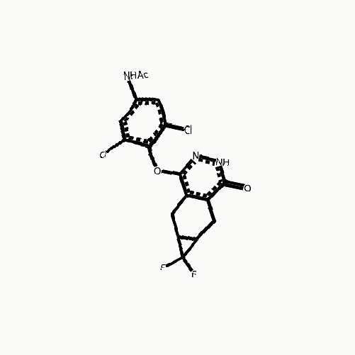 CC(=O)Nc1cc(Cl)c(Oc2n[nH]c(=O)c3c2CC2C(C3)C2(F)F)c(Cl)c1